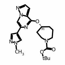 Cn1cc(-c2cn3nccc3c(O[C@@H]3CCCN(C(=O)OC(C)(C)C)CC3)n2)cn1